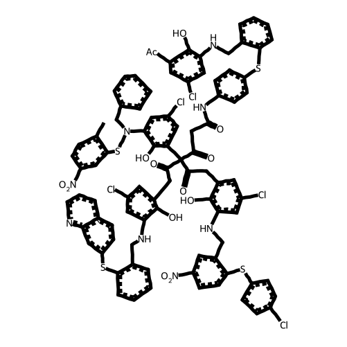 CC(=O)c1cc(Cl)cc(NCc2ccccc2Sc2ccc(NC(=O)CC(=O)C(C(=O)Cc3cc(Cl)cc(NCc4ccccc4Sc4ccc5cccnc5c4)c3O)(C(=O)Cc3cc(Cl)cc(NCc4cc([N+](=O)[O-])ccc4Sc4ccc(Cl)cc4)c3O)c3cc(Cl)cc(N(Cc4ccccc4)Sc4cc([N+](=O)[O-])ccc4C)c3O)cc2)c1O